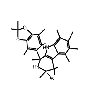 CC(=O)[C@]1(C)N[C@](C)(c2c(C)c(C)c3c(c2C)OC(C)(C)O3)c2[nH]c3c(C)c(C)c(C)c(C)c3c2C1(C)C